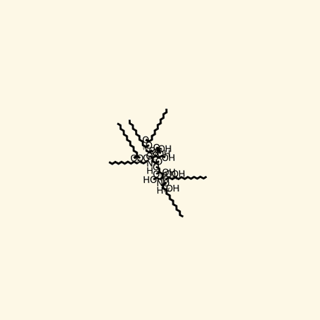 CCCCCCCCCCCCC(=O)O[C@H](CCCCCCCCCC)CC(=O)N[C@H]1C(OC(=O)C[C@@H](CCCCCCCCCC)OC(=O)CCCCCCCCCCCC)[C@H](OP(=O)(O)O)C(CO)O[C@H]1OCC1OC(O)C(NC(=O)C[C@H](O)CCCCCCCCCC)[C@@H](OC(=O)C[C@H](O)CCCCCCCCCC)[C@@H]1O